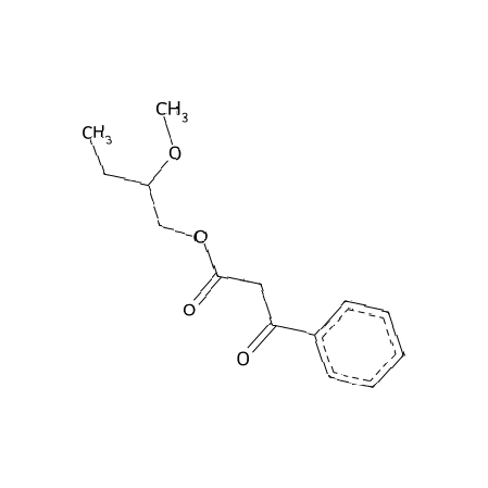 CCC(COC(=O)CC(=O)c1ccccc1)OC